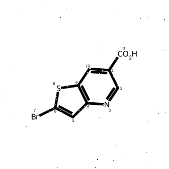 O=C(O)c1cnc2cc(Br)sc2c1